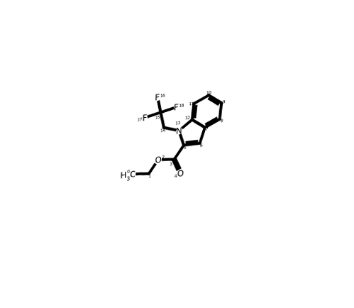 CCOC(=O)c1cc2ccccc2n1CC(F)(F)F